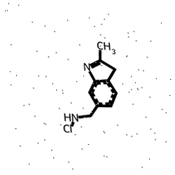 CC1=Nc2cc(CNCl)ccc2C1